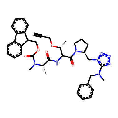 C#CCO[C@H](C)C(NC(=O)[C@H](C)N(C)C(=O)OCC1c2ccccc2-c2ccccc21)C(=O)N1CCC[C@H]1Cn1nnnc1N(C)Cc1ccccc1